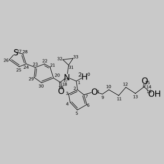 [2H]C(c1ccccc1OCCCCCC(=O)O)N(C(=O)c1ccc(-c2ccsc2)cc1)C1CC1